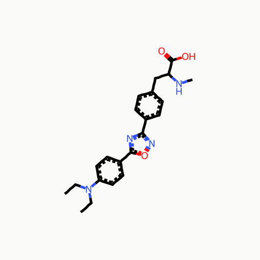 CCN(CC)c1ccc(-c2nc(-c3ccc(CC(NC)C(=O)O)cc3)no2)cc1